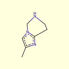 Cc1cn2c(n1)CCNC2